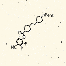 CCCCCC1CCC(CCC2CCC(C(=O)Oc3ccc(C#N)c(F)c3F)CC2)CC1